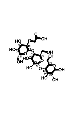 O=C(O)CO[C@H]1[C@@H](O[C@H]2[C@H](O)[C@@H](O)[C@@H](O[C@H]3[C@H](O)[C@@H](O)C(O)O[C@@H]3CO)O[C@@H]2CO)O[C@H](CO)[C@@H](O)[C@@H]1O